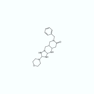 O=C1CC2NC3NC(N4CCOCC4)NN3CC2CN1Cc1ccccc1